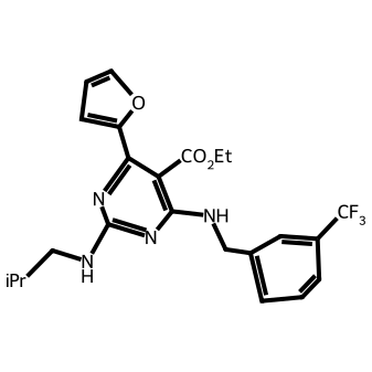 CCOC(=O)c1c(NCc2cccc(C(F)(F)F)c2)nc(NCC(C)C)nc1-c1ccco1